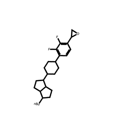 CCCCC1CCC2C(C3CCC(c4ccc(C5CO5)c(F)c4F)CC3)CCC12